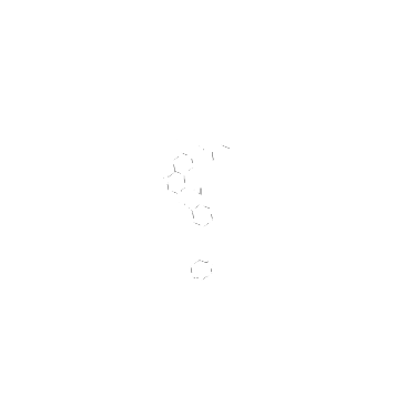 C=CC(=O)Nc1cc2c(Nc3ccc(OCc4ccccn4)cc3)c(C#N)cnc2cc1OCC